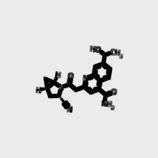 CC(O)c1ccc2c(C(N)=O)cc(CC(=O)N3[C@H](C#N)C[C@@H]4C[C@@H]43)nc2c1